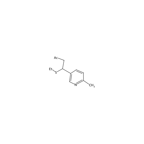 CCSC(CC(C)=O)c1ccc(C)nc1